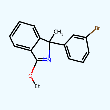 CCOC1=NC(C)(c2cccc(Br)c2)c2ccccc21